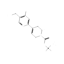 Cc1cc(C2=CCN(C(=O)OC(C)(C)C)CC2)ncc1CO